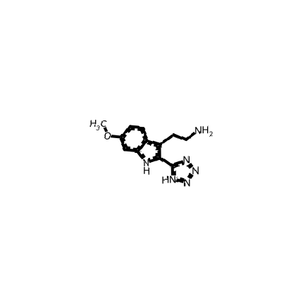 COc1ccc2c(CCN)c(-c3nnn[nH]3)[nH]c2c1